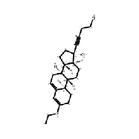 CCOC1=CC2=CC[C@@H]3[C@H](CC[C@@]4(C)[C@H]3CC[C@@]4(O)C#CCCCl)[C@@]2(C)CC1